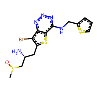 C[S+]([O-])C[C@H](N)Cc1sc2c(NCc3cccs3)nnnc2c1Br